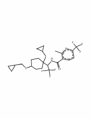 Cc1nc(C(F)(F)F)ccc1C(=O)NC(C(F)(F)F)C1(CC2CC2)CCC(SCC2CC2)CC1